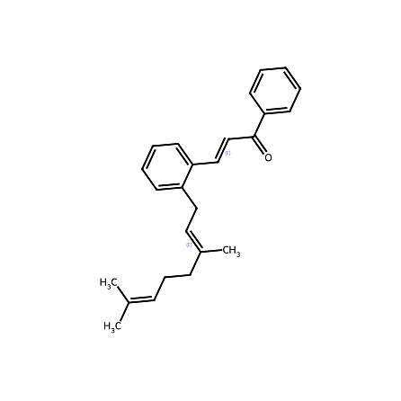 CC(C)=CCC/C(C)=C/Cc1ccccc1/C=C/C(=O)c1ccccc1